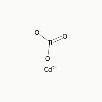 [Cd+2].[O]=[Ti]([O-])[O-]